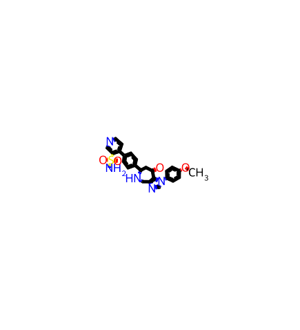 COc1ccc(-n2cnc3c2C(=O)CC(c2ccc(-c4ccncc4S(N)(=O)=O)cc2)NC3)cc1